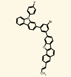 C/C=C/c1ccc2c(ccc3c4ccc(-c5cc(Br)cc(-c6ccc7c8ccccc8n(-c8ccc(F)cc8)c7c6)c5)cc4oc23)c1